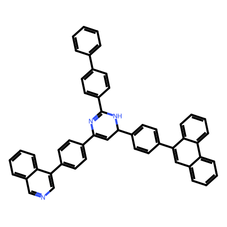 C1=C(c2ccc(-c3cncc4ccccc34)cc2)N=C(c2ccc(-c3ccccc3)cc2)NC1c1ccc(-c2cc3ccccc3c3ccccc23)cc1